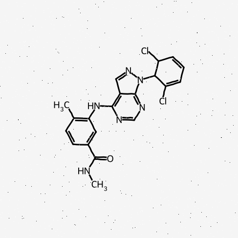 CNC(=O)c1ccc(C)c(Nc2ncnc3c2cnn3C2C(Cl)=CC=CC2Cl)c1